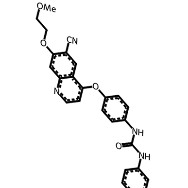 COCCOc1cc2nccc(Oc3ccc(NC(=O)Nc4cccc(C#N)c4)cc3)c2cc1C#N